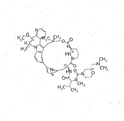 CCn1c(-c2cccnc2[C@H](C)OC)c2c3cc(ccc31)-c1csc(n1)C[C@H](NC(=O)C(C(C)C)N(C)C(=O)N1CCO[C@@H](CN(C)C)C1)C(=O)N1CCC[C@H](N1)C(=O)OCC(C)(C)C2